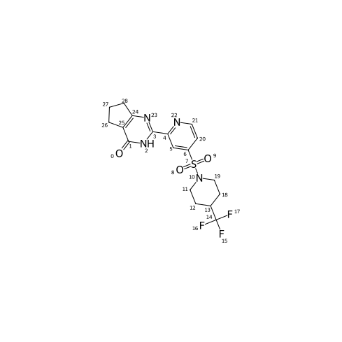 O=c1[nH]c(-c2cc(S(=O)(=O)N3CCC(C(F)(F)F)CC3)ccn2)nc2c1CCC2